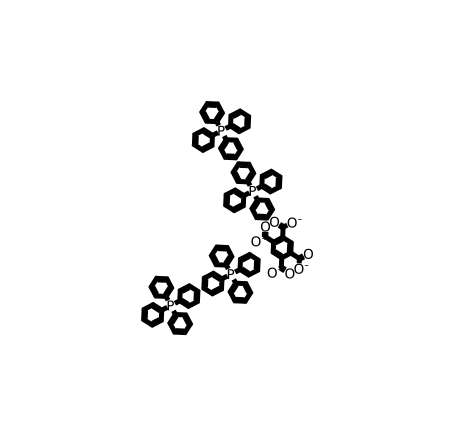 O=C([O-])c1cc(C(=O)[O-])c(C(=O)[O-])cc1C(=O)[O-].c1ccc([P+](c2ccccc2)(c2ccccc2)c2ccccc2)cc1.c1ccc([P+](c2ccccc2)(c2ccccc2)c2ccccc2)cc1.c1ccc([P+](c2ccccc2)(c2ccccc2)c2ccccc2)cc1.c1ccc([P+](c2ccccc2)(c2ccccc2)c2ccccc2)cc1